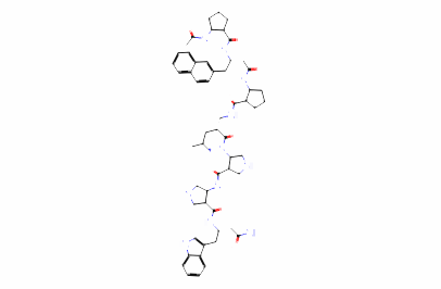 CC(=O)NC1CCCC1C(=O)N[C@H](CC(=O)NC1CCCC1C(=O)NC[C@H](CC(C)C)C(=O)NC1CNCC1C(=O)NC1CNCC1C(=O)N[C@H](CC(N)=O)Cc1c[nH]c2ccccc12)Cc1ccc2ccccc2c1